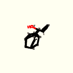 C=CC(O)C12CC3CC(CC1C3)C2